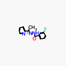 C/C(=N\NC(=O)c1cccc(F)c1)c1ccccn1